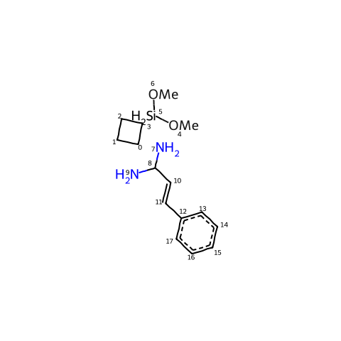 C1CCC1.CO[SiH2]OC.NC(N)C=Cc1ccccc1